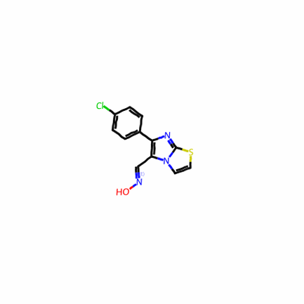 O/N=C/c1c(-c2ccc(Cl)cc2)nc2sccn12